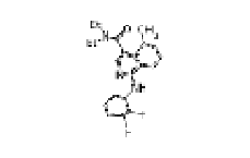 CCN(CC)C(=O)c1cnc(Nc2cccc(F)c2F)c2cccc(C)c12